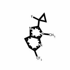 Cn1c(C2(F)CC2)nc2ccc(C(F)(F)F)nc21